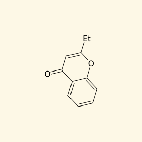 [CH2]Cc1cc(=O)c2ccccc2o1